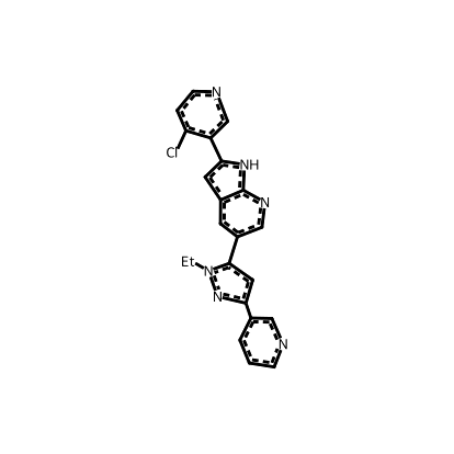 CCn1nc(-c2cccnc2)cc1-c1cnc2[nH]c(-c3cnccc3Cl)cc2c1